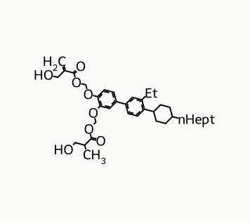 C=C(CO)C(=O)OCOc1ccc(-c2ccc(C3CCC(CCCCCCC)CC3)c(CC)c2)cc1OCOC(=O)C(C)CO